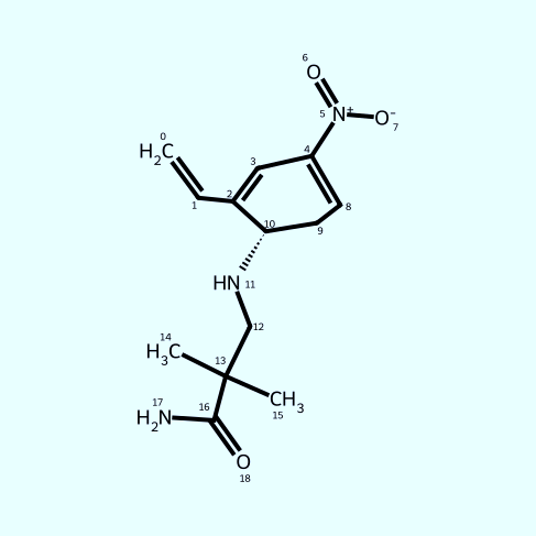 C=CC1=CC([N+](=O)[O-])=CC[C@@H]1NCC(C)(C)C(N)=O